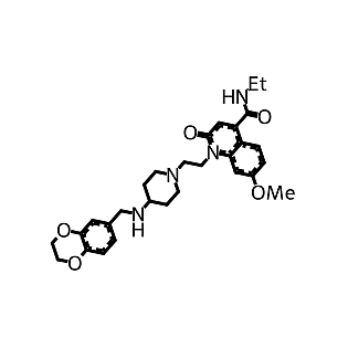 CCNC(=O)c1cc(=O)n(CCN2CCC(NCc3ccc4c(c3)OCCO4)CC2)c2cc(OC)ccc12